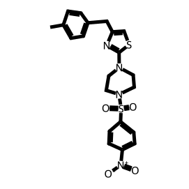 Cc1ccc(Cc2csc(N3CCN(S(=O)(=O)c4ccc([N+](=O)[O-])cc4)CC3)n2)cc1